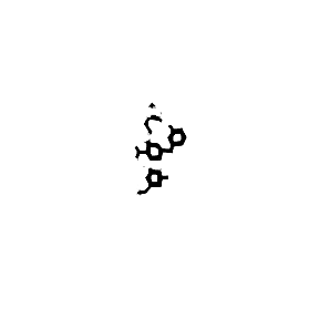 Cc1cccc(C(=O)c2cc(OCCc3scnc3C)c(C(C)C)cc2Oc2c(Br)cc(CC(=O)O)cc2Br)c1